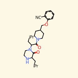 CC(C)CC1NCCN(C(CC(C)C)C(=O)N2CCC(COc3ccccc3C#N)CC2)C1=O